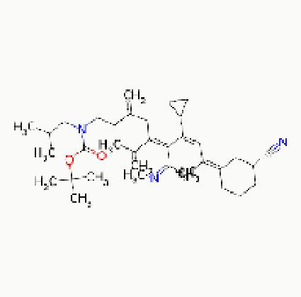 C=C(CCN(CC(C)C)C(=O)OC(C)(C)C)C/C(C(=C)C)=C(C(=C/C(C)=C1/CCC[C@@H](C#N)C1)\C1CC1)/C(C)=N\C